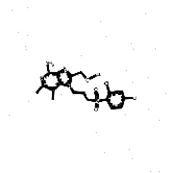 CCOCc1nc2c(N)nc(C)c(C)c2n1CCCS(=O)(=O)c1ccc(Cl)cc1Cl